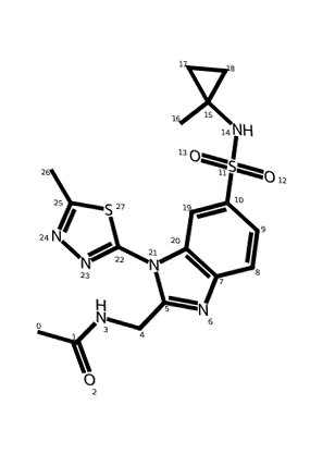 CC(=O)NCc1nc2ccc(S(=O)(=O)NC3(C)CC3)cc2n1-c1nnc(C)s1